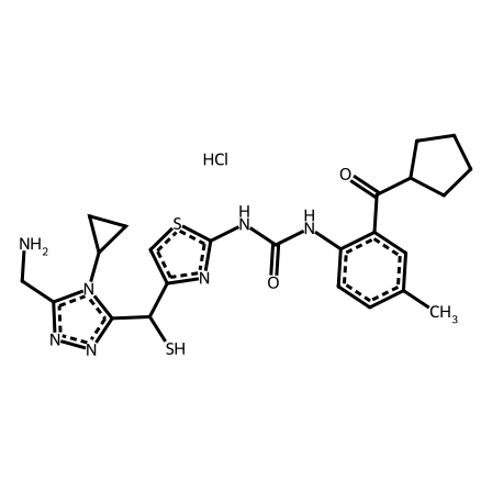 Cc1ccc(NC(=O)Nc2nc(C(S)c3nnc(CN)n3C3CC3)cs2)c(C(=O)C2CCCC2)c1.Cl